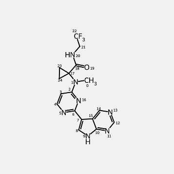 CN(c1ccnc(-c2c[nH]c3ncncc23)n1)C1(C(=O)NCC(F)(F)F)CC1